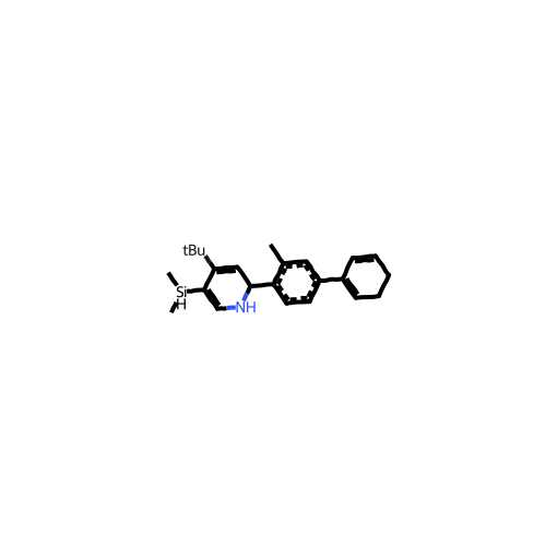 Cc1cc(C2=CCCC=C2)ccc1C1C=C(C(C)(C)C)C([SiH](C)C)=CN1